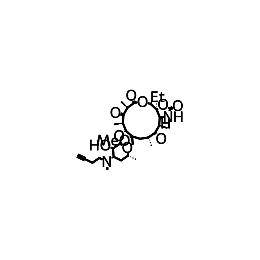 C#CCCN(C)[C@H]1C[C@@H](C)O[C@@H](O[C@@H]2[C@@H](C)C(=O)[C@@H](C)C(=O)O[C@H](CC)[C@@]3(C)OC(=O)N[C@@H]3[C@@H](C)C(=O)[C@H](C)C[C@@]2(C)OC)[C@@H]1O